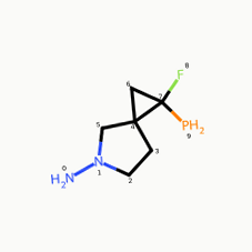 NN1CCC2(C1)CC2(F)P